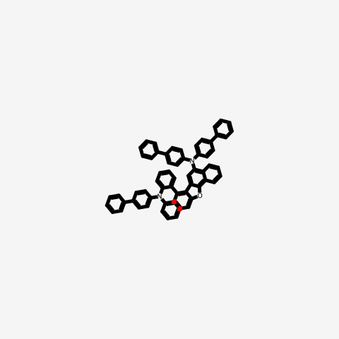 c1ccc(-c2ccc(N(c3ccccc3)c3ccccc3-c3cccc4oc5c6ccccc6c(N(c6ccc(-c7ccccc7)cc6)c6ccc(-c7ccccc7)cc6)cc5c34)cc2)cc1